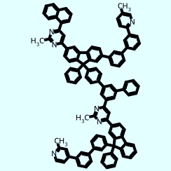 Cc1ccc(-c2cccc(-c3cccc(-c4ccc5c(c4)C(c4ccccc4)(c4ccc(-c6cc(-c7ccccc7)cc(-c7cc(-c8ccc9c(c8)C(c8ccccc8)(c8cccc(-c%10cccc(-c%11ccnc(C)c%11)c%10)c8)c8ccccc8-9)nc(C)n7)c6)cc4)c4ccc(-c6cc(-c7cccc8ccccc78)nc(C)n6)cc4-5)c3)c2)nc1